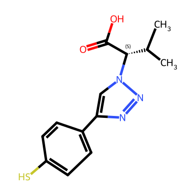 CC(C)[C@@H](C(=O)O)n1cc(-c2ccc(S)cc2)nn1